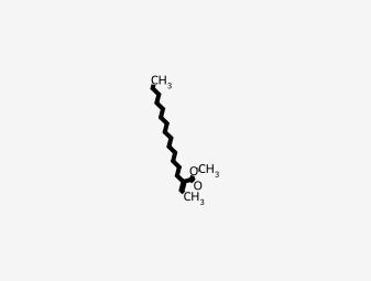 CC=C(CCCCCCCCCCCCCC)C(=O)OC